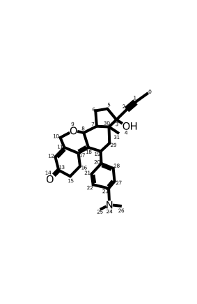 CC#CC1(O)CCC2C3OCC4=CC(=O)CCC4=C3C(c3ccc(N(C)C)cc3)CC21C